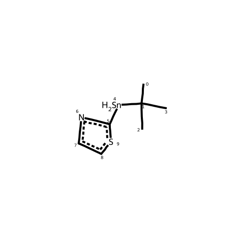 C[C](C)(C)[SnH2][c]1nccs1